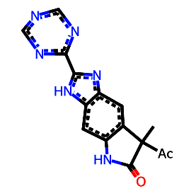 CC(=O)C1(C)C(=O)Nc2cc3[nH]c(-c4ncncn4)nc3cc21